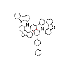 c1ccc(-c2ccc(-c3cccc(N(c4ccccc4-c4cccc(N(c5cccc6c5sc5ccccc56)c5cccc6oc7ccccc7c56)c4)c4cccc5oc6ccccc6c45)c3)cc2)cc1